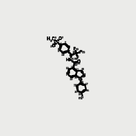 CS(=O)(=O)c1ccc(C(NC(=O)c2cncc3c2cnn3-c2ccc(F)cc2)C(F)(F)F)cn1